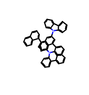 c1ccc(-c2ccccc2N(c2ccc(-c3cccc4ccccc34)cc2)c2ccccc2-c2cc(-n3c4ccccc4c4ccccc43)cc3ccccc23)cc1